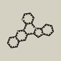 c1ccc2nc3c(cc2c1)c1cc2ccccc2n1c1cccnc31